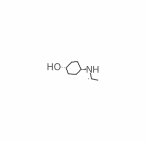 C[CH]N[C@H]1CC[C@H](O)CC1